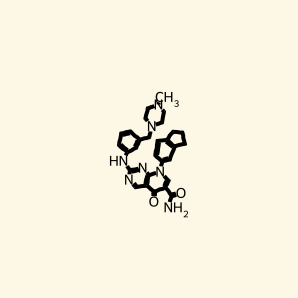 CN1CCN(Cc2cccc(Nc3ncc4c(=O)c(C(N)=O)cn(-c5ccc6c(c5)CCC6)c4n3)c2)CC1